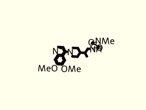 CNS(=O)(=O)NCC(C)C1CCN(c2ccnc3cc(OC)c(OC)cc23)CC1